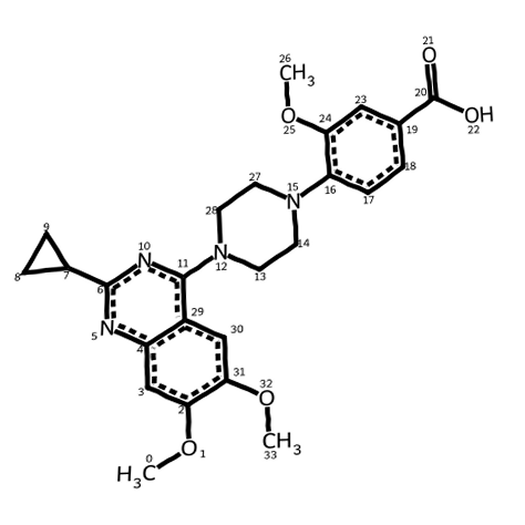 COc1cc2nc(C3CC3)nc(N3CCN(c4ccc(C(=O)O)cc4OC)CC3)c2cc1OC